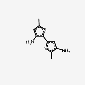 Cc1cc(N)c(-c2cc(N)c(C)s2)s1